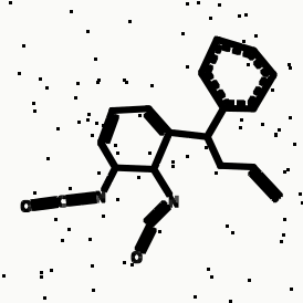 C=CCC(C1=CC=CC(N=C=O)C1N=C=O)c1ccccc1